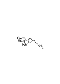 Br.NCCCc1ccc(-c2ccc(=O)[nH]n2)cc1